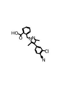 Cc1nn(Cc2ccccc2C(=O)O)c(C)c1-c1ccc(C#N)c(Cl)c1